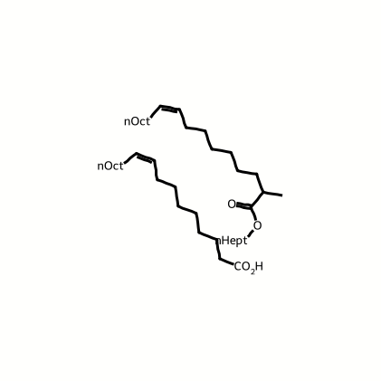 CCCCCCCC/C=C\CCCCCCC(C)C(=O)OCCCCCCC.CCCCCCCC/C=C\CCCCCCCC(=O)O